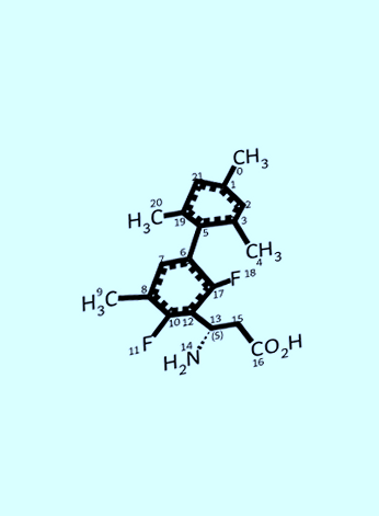 Cc1cc(C)c(-c2cc(C)c(F)c([C@@H](N)CC(=O)O)c2F)c(C)c1